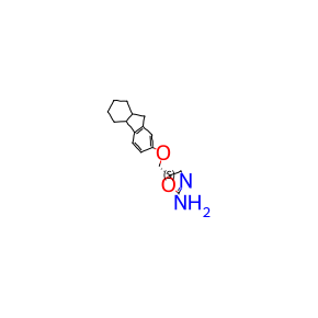 NC1=NC[C@@H](COc2ccc3c(c2)CC2CCCCC32)O1